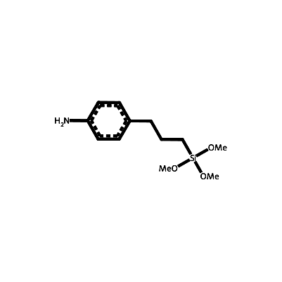 CO[Si](CCCc1ccc(N)cc1)(OC)OC